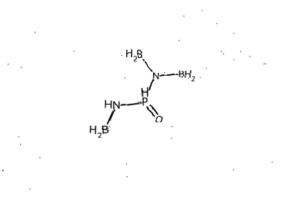 BN[PH](=O)N(B)B